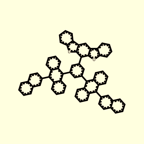 c1ccc2cc(-c3c4ccccc4c(-c4cc(-c5c6ccccc6c(-c6ccc7ccccc7c6)c6ccccc56)cc(-c5c6oc7ccccc7c6cc6c5oc5ccccc56)c4)c4ccccc34)ccc2c1